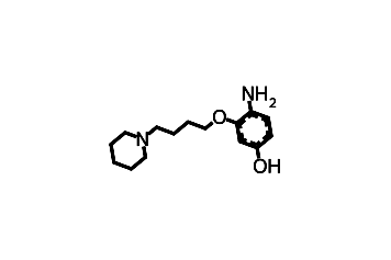 Nc1ccc(O)cc1OCCCCN1CCCCC1